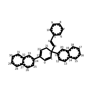 C1=CC(/C=C/c2ccccc2)(c2ccc3ccccc3c2)CC=C1c1ccc2ccccc2c1